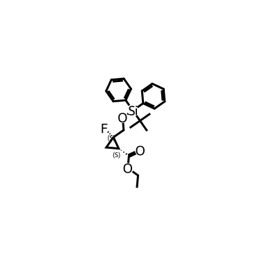 CCOC(=O)[C@@H]1C[C@@]1(F)CO[Si](c1ccccc1)(c1ccccc1)C(C)(C)C